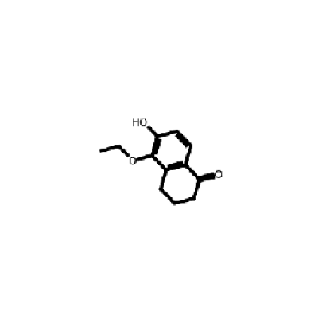 CCOc1c(O)ccc2c1CCCC2=O